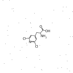 NC(Cc1cc(Cl)nc(Cl)c1)C(=O)O